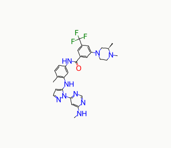 CNc1cc(-n2nccc2Nc2cc(NC(=O)c3cc(N4CCN(C)[C@H](C)C4)cc(C(F)(F)F)c3)ccc2C)ncn1